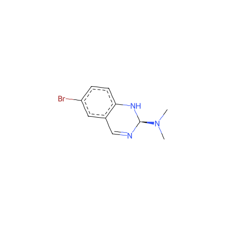 CN(C)[C@H]1N=Cc2cc(Br)ccc2N1